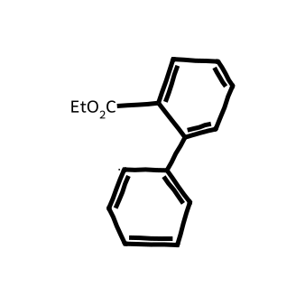 CCOC(=O)c1ccccc1-c1[c]cccc1